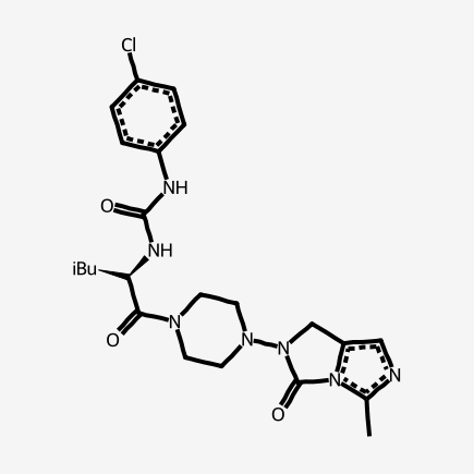 CC[C@H](C)[C@@H](NC(=O)Nc1ccc(Cl)cc1)C(=O)N1CCN(N2Cc3cnc(C)n3C2=O)CC1